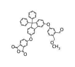 COCc1ccc(Oc2ccc3c(c2)-c2cc(Oc4ccc5c(c4)C(=O)OC5=O)ccc2C3(c2ccccc2)c2ccccc2)cc1C=O